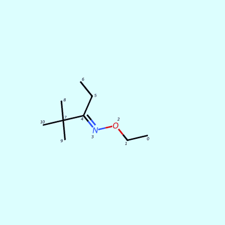 CCO/N=C(\CC)C(C)(C)C